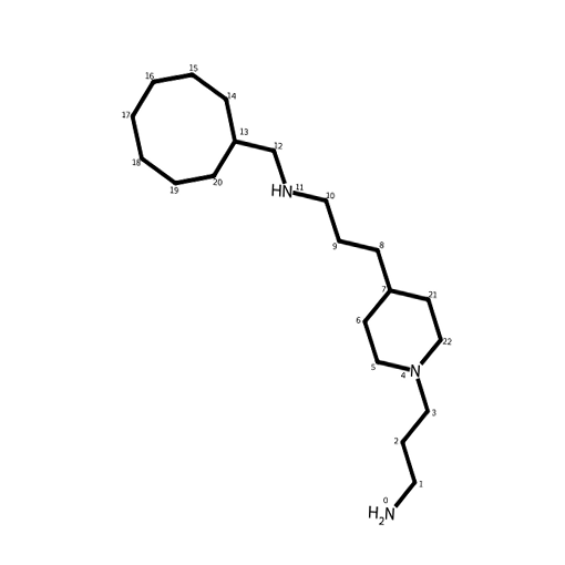 NCCCN1CCC(CCCNCC2CCCCCCC2)CC1